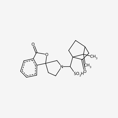 CC1(C)C2CCC1(C(N1CCC3(C1)OC(=O)c1ccccc13)S(=O)(=O)O)C(=O)C2